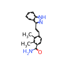 Cc1c(C=Cc2n[nH]c3ccccc23)ccc(C(N)=O)c1C